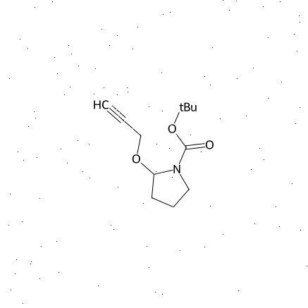 C#CCOC1CCCN1C(=O)OC(C)(C)C